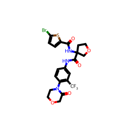 O=C(NC1(C(=O)Nc2ccc(N3CCOCC3=O)c(C(F)(F)F)c2)CCOC1)c1ccc(Br)s1